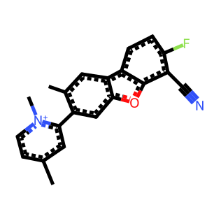 Cc1cc[n+](C)c(-c2cc3oc4c(C#N)c(F)ccc4c3cc2C)c1